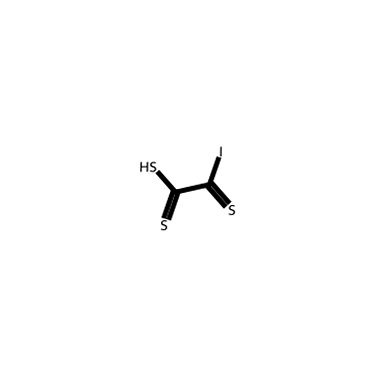 S=C(S)C(=S)I